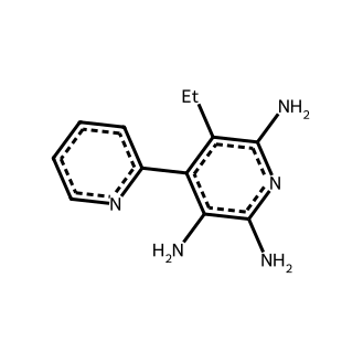 CCc1c(N)nc(N)c(N)c1-c1ccccn1